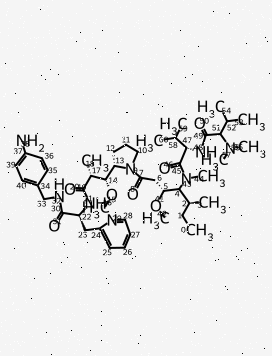 CC[C@H](C)C([C@@H](CC(=O)N1CCC[C@H]1[C@H](OC)[C@@H](C)C(=O)N[C@@H](Cc1ccccn1)C(=O)NCc1ccc(N)cc1)OC)N(C)C(=O)[C@@H](NC(=O)C(C(C)C)N(C)C)C(C)C